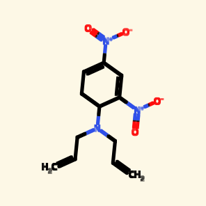 C=CCN(CC=C)C1CC=C([N+](=O)[O-])C=C1[N+](=O)[O-]